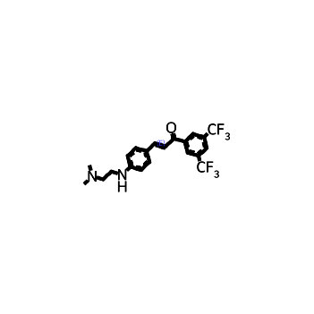 CN(C)CCNc1ccc(/C=C/C(=O)c2cc(C(F)(F)F)cc(C(F)(F)F)c2)cc1